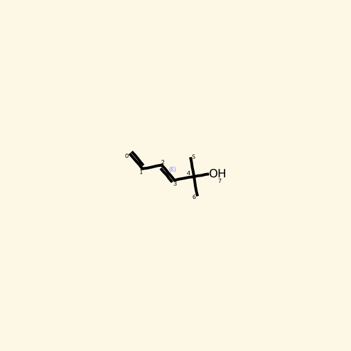 C=C/C=C/C(C)(C)O